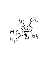 CC(CC(C)C(C)C)NC(=O)C(C)C